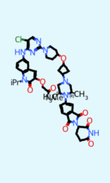 CNC(=O)COc1cc2cc(Nc3nc(N4CCC(OC5CC(N6C[C@@H](C)N(c7ccc8c(c7)C(=O)N(C7CCC(=O)NC7=O)C8=O)[C@H](C)C6)C5)CC4)ncc3Cl)ccc2n(C(C)C)c1=O